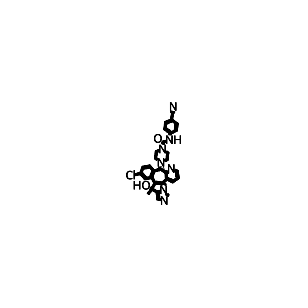 Cn1cncc1C(C)(O)C1=Cc2cccnc2[C@@H](N2CCN(C(=O)Nc3ccc(C#N)cc3)CC2)c2ccc(Cl)cc21